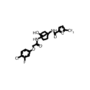 O=C(COc1ccc(Cl)c(F)c1)NC12CCC(NC(=O)c3ccc(C(F)(F)F)o3)(CC1)CC2O